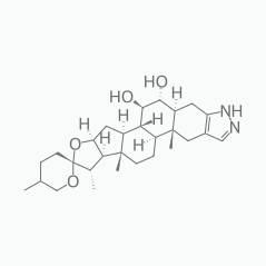 CC1CC[C@@]2(OC1)O[C@H]1C[C@H]3[C@@H]4[C@@H](O)[C@H](O)[C@H]5Cc6[nH]ncc6C[C@]5(C)[C@H]4CC[C@]3(C)[C@H]1[C@@H]2C